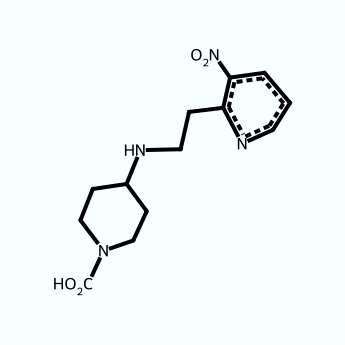 O=C(O)N1CCC(NCCc2ncccc2[N+](=O)[O-])CC1